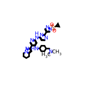 CN(C)CC1CCC(Nc2cc(Nc3ccnc(-c4cnn(S(=O)(=O)C5CC5)c4)n3)ncc2-c2cc3n(n2)CCCC3)CC1